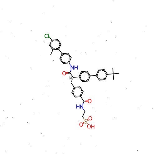 Cc1cc(Cl)ccc1-c1ccc(NC(=O)[C@@H](Cc2ccc(C(=O)NCCS(=O)(=O)O)cc2)c2ccc(-c3ccc(C(C)(C)C)cc3)cc2)cc1